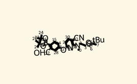 CN(CCO[Si](C)(C)C(C)(C)C)c1nc(Oc2ccc(B3OC(C)(C)C(C)(C)O3)c(C=O)c2)ccc1C#N